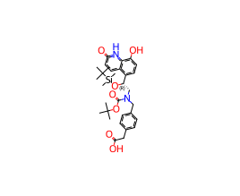 CC(C)(C)OC(=O)N(Cc1ccc(CC(=O)O)cc1)C[C@H](O[Si](C)(C)C(C)(C)C)c1ccc(O)c2[nH]c(=O)ccc12